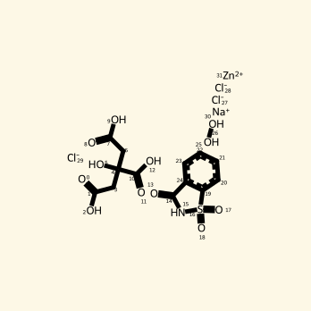 O=C(O)CC(O)(CC(=O)O)C(=O)O.O=C1NS(=O)(=O)c2ccccc21.OO.[Cl-].[Cl-].[Cl-].[Na+].[Zn+2]